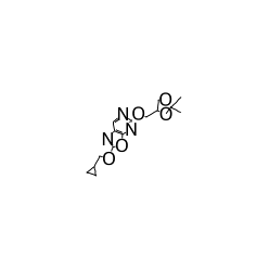 CC1(C)OCC(COc2ncc3nc(OCC4CC4)oc3n2)O1